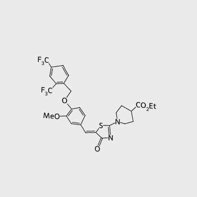 CCOC(=O)C1CCN(C2=NC(=O)C(=Cc3ccc(OCc4ccc(C(F)(F)F)cc4C(F)(F)F)c(OC)c3)S2)CC1